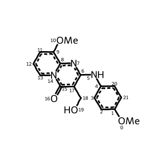 COc1ccc(Nc2nc3c(OC)cccn3c(=O)c2CO)cc1